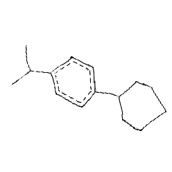 CC(C)c1ccc(C2CCCCC2)cc1